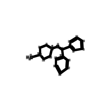 CN1CCN(OC(c2ccccc2)c2ccccc2)CC1